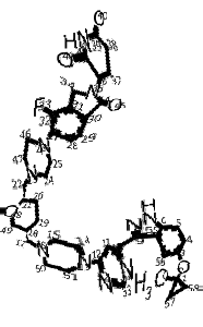 CC1(Oc2ccc3[nH]nc(-c4cc(N5CCN(C[C@H]6CC[C@H](CN7CCN(c8ccc9c(c8F)CN(C8CCC(=O)NC8=O)C9=O)CC7)OC6)CC5)ncn4)c3c2)CC1